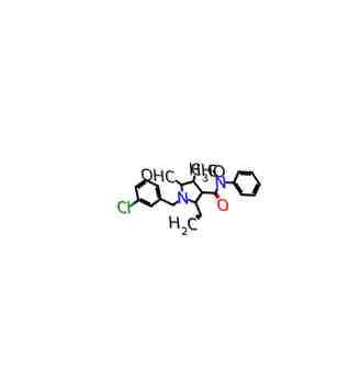 C=CC1C(C(=O)N(C)c2ccccc2)C(C=O)C(C=O)N1Cc1cccc(Cl)c1